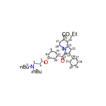 CCCCN(CCCC)CCCOc1cccc(C(=O)c2c(-c3ccccc3)cc3cc(C(=O)OCC)ccn23)c1